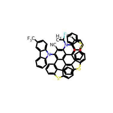 CC(C)c1ccccc1N(c1c(C#N)c(-n2c3ccccc3c3cc(C(F)(F)F)ccc32)c(-c2cccc3sc4ccccc4c23)c(-c2cccc3sc4ccccc4c23)c1-c1cccc2sc3ccccc3c12)C(C)F